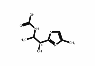 Cc1csc([C@@H](O)C(C)NC(=O)O)n1